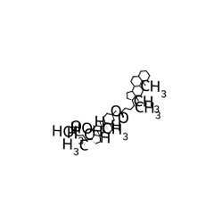 C[C@H](CCC(=O)O)[C@H]1CC[C@H]2[C@@H]3CC[C@@H]4C[C@H](OC(=O)CC[C@@H](C)[C@H]5CCC6C7CCC8CCCC[C@]8(C)C7CC[C@@]65C)CC[C@]4(C)[C@H]3C[C@H](O)[C@]12C